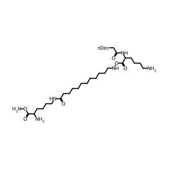 CCCCCCCCCCCC(=O)NC(CCCCN)C(=O)ONCCCCCCCCCCCC(=O)NCCCCC(N)C(=O)ON